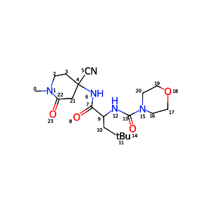 CN1CCC(C#N)(NC(=O)C(CC(C)(C)C)NC(=O)N2CCOCC2)CC1=O